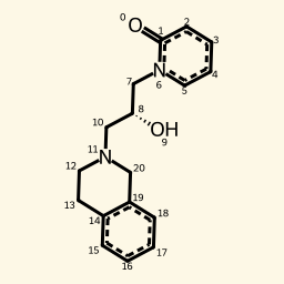 O=c1ccccn1C[C@H](O)CN1CCc2ccccc2C1